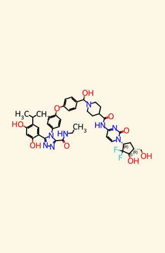 CCNC(=O)c1nnc(-c2cc(C(C)C)c(O)cc2O)n1-c1ccc(Oc2ccc(C(O)N3CCC(C(=O)Nc4ccn([C@@H]5C[C@H](CO)[C@@H](O)C5(F)F)c(=O)n4)CC3)cc2)cc1